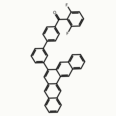 O=C(c1ccc(-c2cccc(-c3cc4cc5ccccc5cc4c4cc5ccccc5cc34)c2)cc1)c1c(F)cccc1F